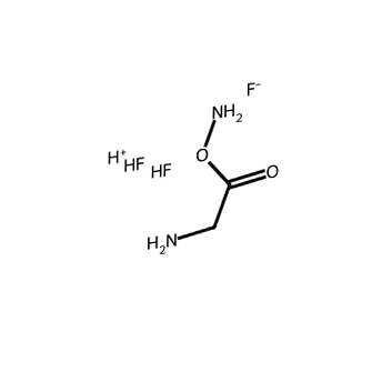 F.F.NCC(=O)ON.[F-].[H+]